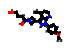 N#Cc1ccnc2c1c(C1CN(C(=O)/C=C/CO)C1)nn2-c1ccc(OC(F)(F)F)cc1